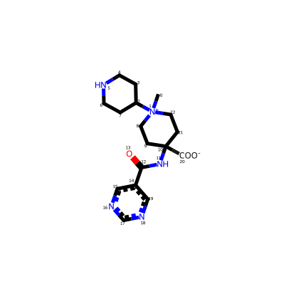 C[N+]1(C2CCNCC2)CCC(NC(=O)c2cncnc2)(C(=O)[O-])CC1